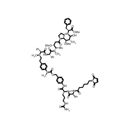 CC[C@H](C)[C@@H]([C@@H](CC(=O)N1CCC[C@H]1[C@H](OC)[C@@H](C)C(O)N[C@@H](Cc1ccccc1)C(=O)OC)OC)N(C)C(=O)[C@@H](NC(=O)[C@H](C(C)C)N(C)CCc1ccc(N(C)C(=O)OCc2ccc(NC(=O)[C@H](CCCNC(N)=O)NC(=O)[C@@H](NC(=O)CCCCCN3C(=O)C=CC3=O)C(C)C)cc2)cc1)C(C)C